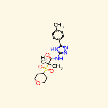 Cc1ccc(-c2nnc(NC(=O)C(C)(C)S(=O)(=O)C3CCOCC3)[nH]2)cc1